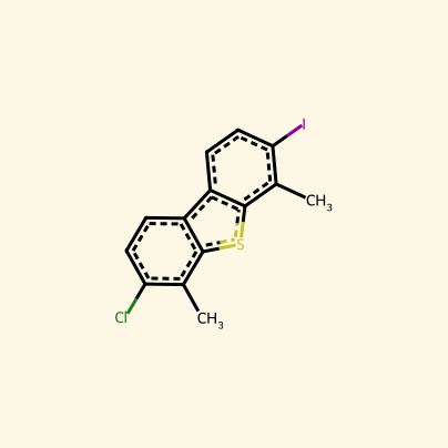 Cc1c(Cl)ccc2c1sc1c(C)c(I)ccc12